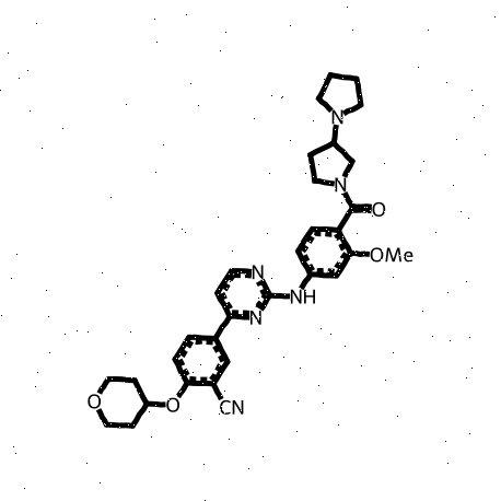 COc1cc(Nc2nccc(-c3ccc(OC4CCOCC4)c(C#N)c3)n2)ccc1C(=O)N1CCC(N2CCCC2)C1